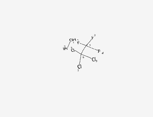 CC(C)O.FC(F)(F)C(Cl)(Cl)Cl